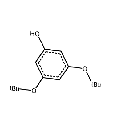 CC(C)(C)Oc1cc(O)cc(OC(C)(C)C)c1